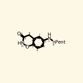 CCCCCNc1ccc2c(c1)CC(=O)NO2